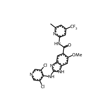 COc1cc2[nH]c(Nc3c(Cl)cncc3Cl)nc2cc1C(=O)Nc1cc(C(F)(F)F)cc(C)n1